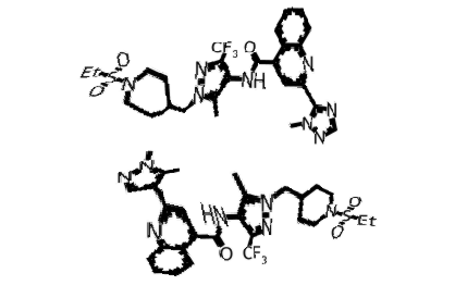 CCS(=O)(=O)N1CCC(Cn2nc(C(F)(F)F)c(NC(=O)c3cc(-c4cnn(C)c4C)nc4ccccc34)c2C)CC1.CCS(=O)(=O)N1CCC(Cn2nc(C(F)(F)F)c(NC(=O)c3cc(-c4ncnn4C)nc4ccccc34)c2C)CC1